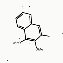 COc1c(C)cc2ccccc2c1OC